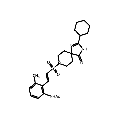 CC(=O)Nc1cccc(C)c1/C=C/S(=O)(=O)N1CCC2(CC1)N=C(C1CCCCC1)NC2=O